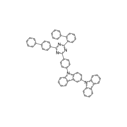 c1ccc(-c2ccc(-c3nc(-c4ccc(-n5c6ccccc6c6cc(-n7c8ccccc8c8ccccc87)ccc65)cc4)nc(-c4ccccc4-c4ccccc4)n3)cc2)cc1